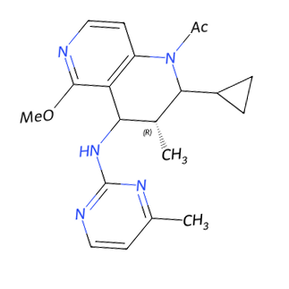 COc1nccc2c1C(Nc1nccc(C)n1)[C@@H](C)C(C1CC1)N2C(C)=O